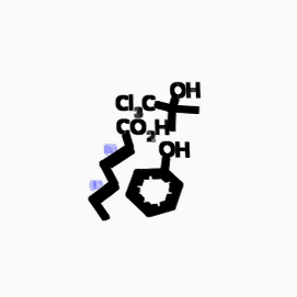 C/C=C/C=C/C(=O)O.CC(C)(O)C(Cl)(Cl)Cl.Oc1ccccc1